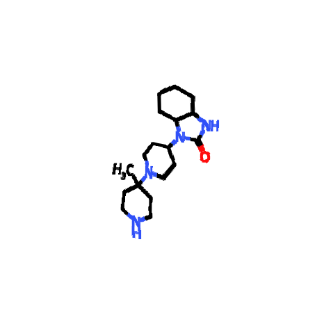 CC1(N2CCC(N3C(=O)NC4CCCCC43)CC2)CCNCC1